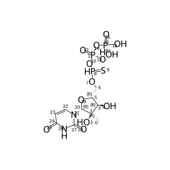 C[C@@]1(O)[C@H](O)[C@@H](CO[PH](=S)OP(=O)(O)OP(=O)(O)O)O[C@H]1n1ccc(=O)[nH]c1=O